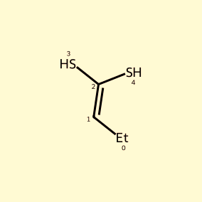 [CH2]CC=C(S)S